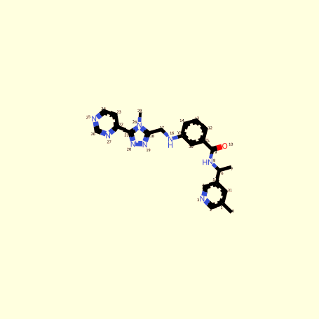 Cc1cncc(C(C)NC(=O)c2cccc(NCc3nnc(-c4ccncn4)n3C)c2)c1